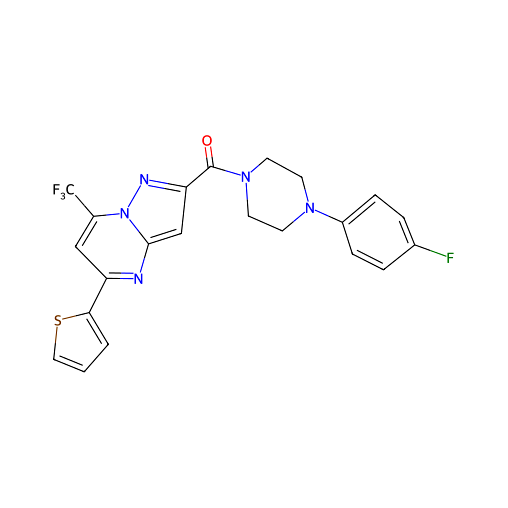 O=C(c1cc2nc(-c3cccs3)cc(C(F)(F)F)n2n1)N1CCN(c2ccc(F)cc2)CC1